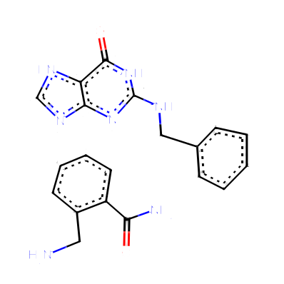 NCc1ccccc1C(N)=O.O=c1[nH]c(NCc2ccccc2)nc2nc[nH]c12